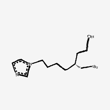 CC(C)(C)C[C@@H](CCO)CCCCn1ccnc1